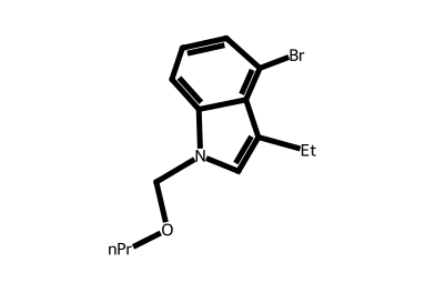 CCCOCn1cc(CC)c2c(Br)cccc21